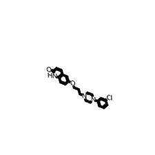 O=c1ccc2cc(OCCCN3CCN(c4cccc(Cl)c4)CC3)ccc2[nH]1